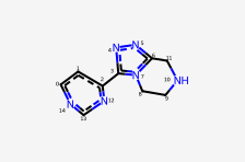 c1cc(-c2nnc3n2CCNC3)ncn1